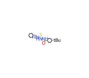 CC(C)(C)c1ccc(C(=O)NNC(=S)NCc2ccccc2)cc1